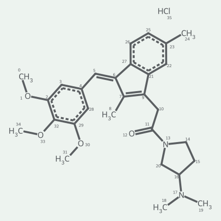 COc1cc(C=C2C(C)=C(CC(=O)N3CCC(N(C)C)C3)c3cc(C)ccc32)cc(OC)c1OC.Cl